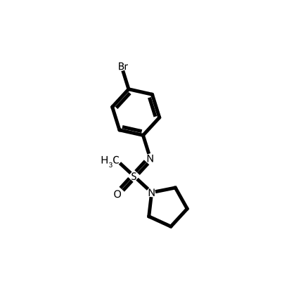 CS(=O)(=Nc1ccc(Br)cc1)N1CCCC1